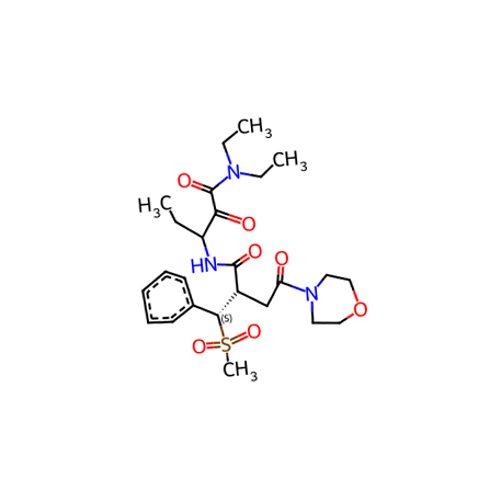 CCC(NC(=O)C(CC(=O)N1CCOCC1)[C@@H](c1ccccc1)S(C)(=O)=O)C(=O)C(=O)N(CC)CC